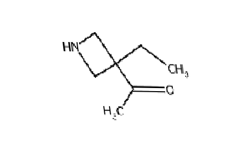 CCC1(C(C)=O)CNC1